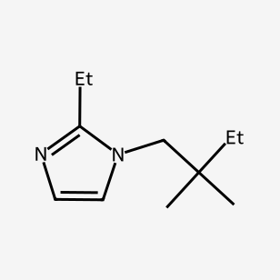 CCc1nccn1CC(C)(C)CC